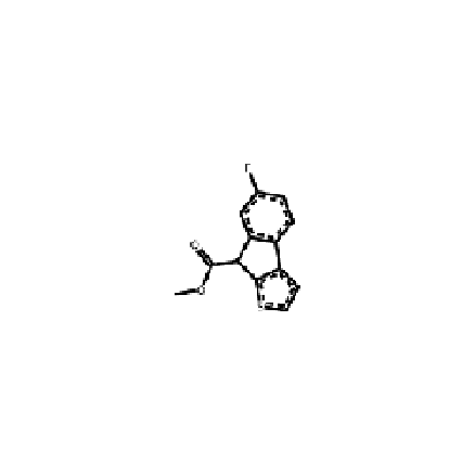 COC(=O)C1c2cc(F)ccc2-c2ccsc21